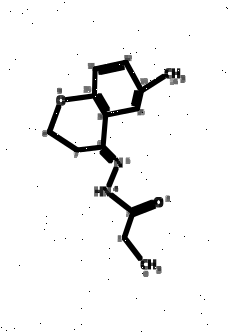 CCC(=O)N/N=C1\CCOc2ccc(C)cc21